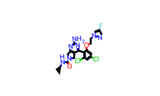 Nc1nc2c(c(-c3c(Cl)cc(Cl)cc3OCCn3cc(F)cn3)n1)CN(C(=O)NC1CC1)C2